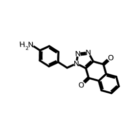 Nc1ccc(Cn2nnc3c2C(=O)c2ccccc2C3=O)cc1